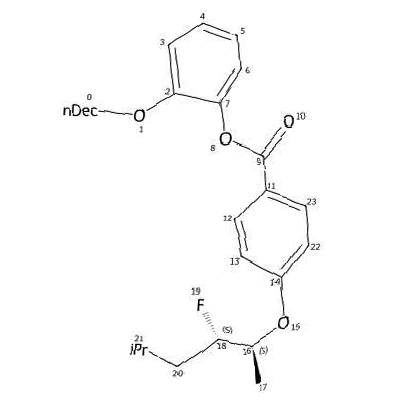 CCCCCCCCCCOc1ccccc1OC(=O)c1ccc(O[C@@H](C)[C@@H](F)CC(C)C)cc1